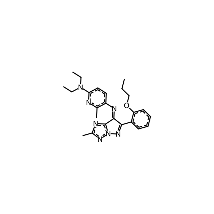 CCCOc1ccccc1C1=Nn2nc(C)nc2/C1=N\c1ccc(N(CC)CC)nc1C